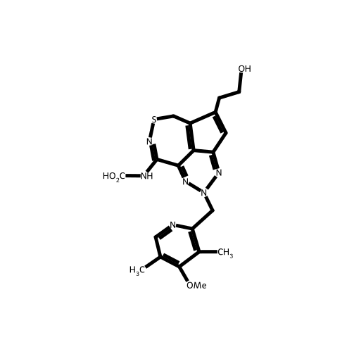 COc1c(C)cnc(Cn2nc3cc(CCO)c4c-3c(n2)C(NC(=O)O)=NSC4)c1C